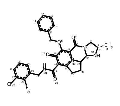 C[C@H]1CN2C(=O)c3c(OCc4ccccc4)c(=O)c(C(=O)NCc4cccc(Cl)c4F)c4n3C(CC4)C2N1